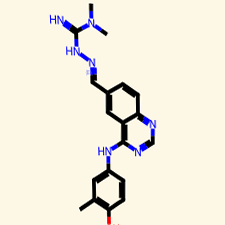 Cc1cc(Nc2ncnc3ccc(/C=N/NC(=N)N(C)C)cc23)ccc1O